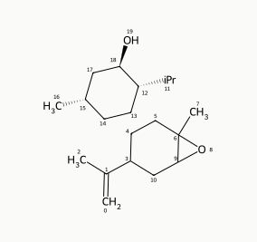 C=C(C)C1CCC2(C)OC2C1.CC(C)[C@@H]1CC[C@H](C)C[C@H]1O